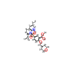 CCc1cnc2c(c1)CC[C@@H](C1CC1)N2S(=O)(=O)c1ccc(OCC2CCOCC2)c(C(=O)OC)c1